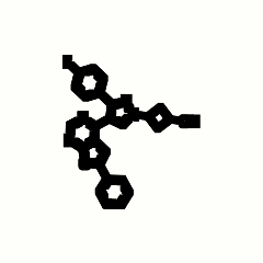 OC1CC(n2cc(-c3ncnc4oc(-c5ccccc5)cc34)c(-c3ccc(F)cc3)n2)C1